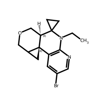 CCN1c2ncc(Br)cc2[C@]23CC2COC[C@H]3C12CC2